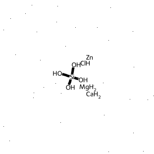 Cl.O[Si](O)(O)O.[CaH2].[MgH2].[Zn]